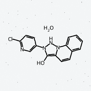 O.OC1=C2C=Cc3ccccc3N2NN1c1ccc(Cl)nc1